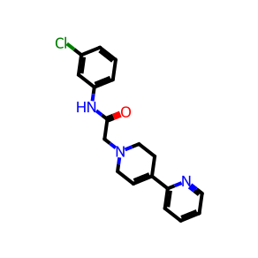 O=C(CN1CC=C(c2ccccn2)CC1)Nc1cccc(Cl)c1